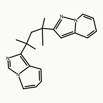 CC(C)(CC(C)(C)c1ncn2ccccc12)c1cc2ccccn2n1